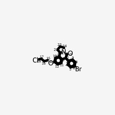 O=C1C(c2ccc(Br)cc2)c2ccc(OCCCCl)cc2C2CCCN12